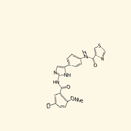 COc1ccc(Cl)cc1C(=O)Nc1ncc(-c2ccc(NC(=O)c3cscn3)cc2)[nH]1